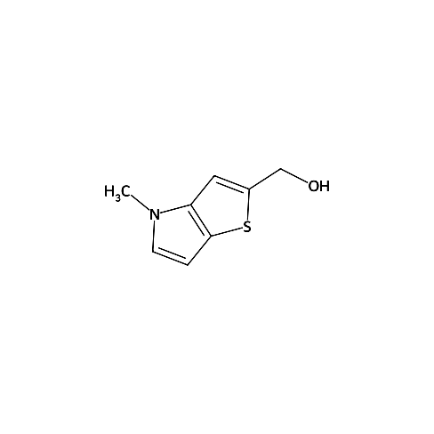 Cn1ccc2sc(CO)cc21